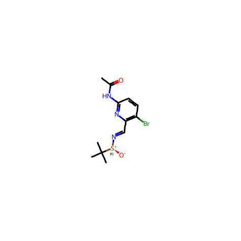 CC(=O)Nc1ccc(Br)c(C=N[S@@+]([O-])C(C)(C)C)n1